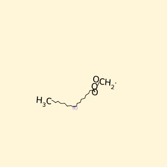 [CH2]C(=O)COC(=O)CCCCCCC/C=C\CCCCCCCC